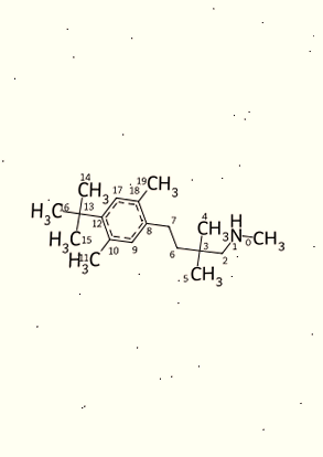 CNCC(C)(C)CCc1cc(C)c(C(C)(C)C)cc1C